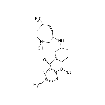 CCOc1ccc(C)nc1C(=O)N1CCC[C@@H](NC2/C=C\C(C(F)(F)F)CCN(C)C2)C1